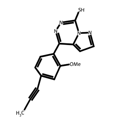 CC#Cc1ccc(-c2nnc(S)n3nccc23)c(OC)c1